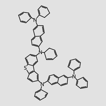 C1=CCCC(N(c2ccccc2)c2ccc3cc(N(c4ccc5sc6ccc(N(c7ccccc7)c7ccc8cc(N(c9ccccc9)c9ccccc9)ccc8c7)cc6c5c4)C4C=CC=CC4)ccc3c2)=C1